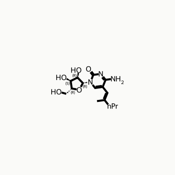 CCCC(C)=Cc1cn([C@@H]2O[C@H](CO)[C@@H](O)[C@H]2O)c(=O)nc1N